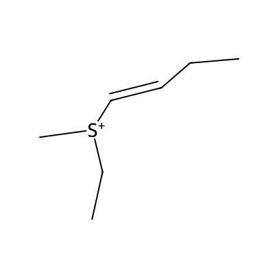 CC/C=C/[S+](C)CC